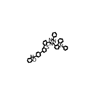 c1ccc(-c2nc(-c3cccc4c3sc3ccc(-c5ccc(-c6nc7ccccc7o6)cc5)cc34)nc(-c3cccc4c3c3ccccc3n4-c3ccccc3)n2)cc1